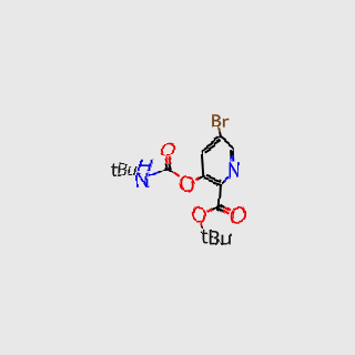 CC(C)(C)NC(=O)Oc1cc(Br)cnc1C(=O)OC(C)(C)C